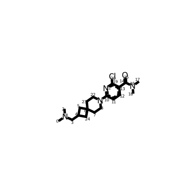 CN(C)CC1CC2(CCN(c3ccc(C(=O)N(C)C)c(Cl)n3)CC2)C1